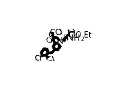 CCOC(=O)NCCn1cc(OC(=O)O)c(=O)c2cc(Cc3cccc(Cl)c3Cl)ccc21